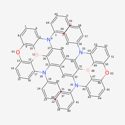 c1ccc(N2c3cccc4c3B3c5c(cccc5N(c5ccccc5)c5c3c2cc2c3c6c(cc52)N(c2ccccc2)c2cccc5c2B6c2c(cccc2N3c2ccccc2)O5)O4)cc1